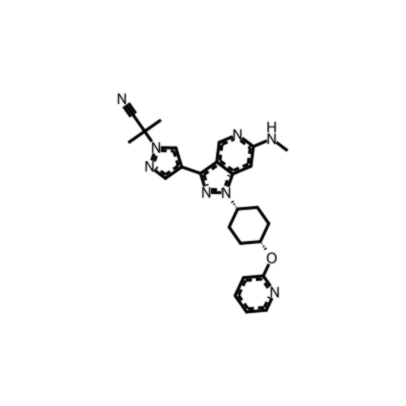 CNc1cc2c(cn1)c(-c1cnn(C(C)(C)C#N)c1)nn2[C@H]1CC[C@@H](Oc2ccccn2)CC1